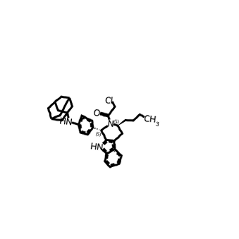 CCCC[C@H]1Cc2c([nH]c3ccccc23)[C@H](c2ccc(NC34CC5CC(CC(C5)C3)C4)cc2)N1C(=O)CCl